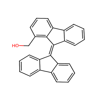 OCc1cccc2c1C(=C1c3ccccc3-c3ccccc31)c1ccccc1-2